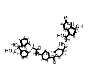 O=C(COc1cccc(C(O)(C(=O)O)c2ccccc2)c1)NC1CCC(C(=O)N2CCC(CNCC(O)c3ccc(O)c4[nH]c(=O)ccc34)CC2)CC1